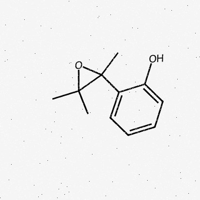 CC1(C)OC1(C)c1ccccc1O